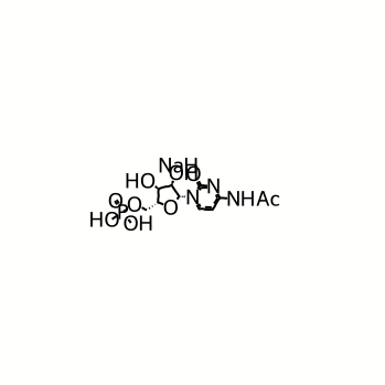 CC(=O)Nc1ccn([C@@H]2O[C@H](COP(=O)(O)O)[C@@H](O)[C@H]2O)c(=O)n1.[NaH]